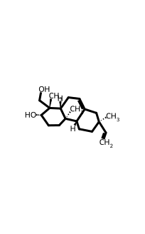 C=C[C@@]1(C)CC[C@H]2C(=CC[C@@H]3[C@]2(C)CC[C@H](O)[C@]3(C)CO)C1